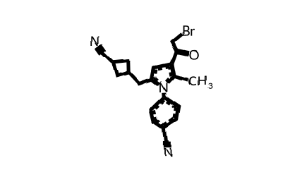 Cc1c(C(=O)CBr)cc(CC2CC(C#N)C2)n1-c1ccc(C#N)cc1